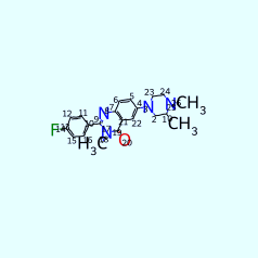 CC1CN(c2ccc3nc(-c4ccc(F)cc4)n(C)c(=O)c3c2)CCN1C